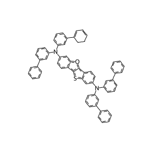 C1=CCCC(c2cccc(N(c3cccc(-c4ccccc4)c3)c3ccc4c(c3)oc3c5ccc(N(c6cccc(-c7ccccc7)c6)c6cccc(-c7ccccc7)c6)cc5sc43)c2)=C1